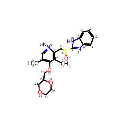 Cc1cnc(C[S+]([O-])c2nc3ccccc3[nH]2)c(C)c1OCC1COCCO1.[Na]